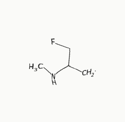 [CH2]C(CF)NC